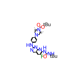 C[C@@H]1CN(c2ccc(Nc3ncc4cc(F)c(NC(=O)NC(C)(C)C)nc4n3)cc2)C[C@H](C)N1C(=O)OC(C)(C)C